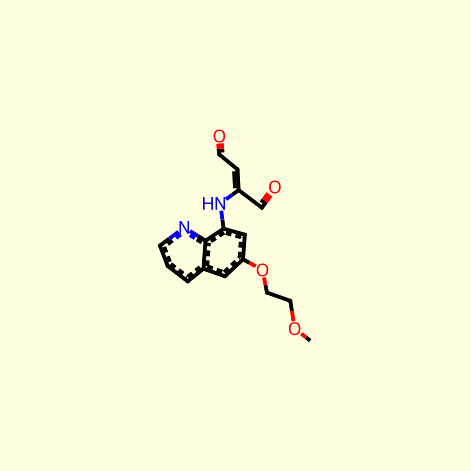 COCCOc1cc(N/C(C=O)=C\C=O)c2ncccc2c1